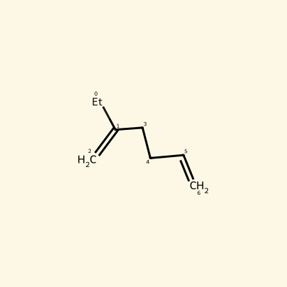 [CH2]CC(=C)CCC=C